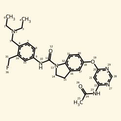 CCN(CC)Cc1ccc(NC(=O)N2CCc3cc(Oc4cc(NC(C)=O)ncn4)ccc32)cc1CF